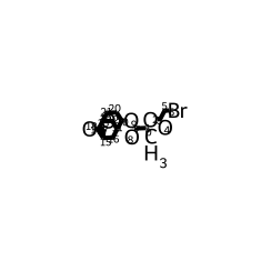 CC(OC(=O)CBr)C(=O)OC1C2CC3CC(C2)C(=O)OC1C3